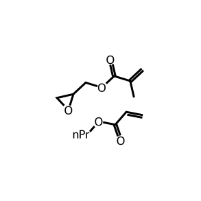 C=C(C)C(=O)OCC1CO1.C=CC(=O)OCCC